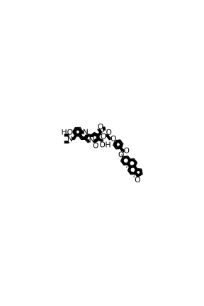 CCN(CC)Cc1c(O)ccc2nc3c(cc12)Cn1c-3cc([C@](C=O)(CC)OC(=O)COc2ccc(C(=O)O[C@H]3CC[C@@]4(C)C(CCC5C4CC[C@]4(C)C(=O)CCC54)C3)cc2)c(CO)c1=O